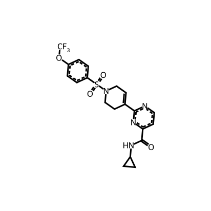 O=C(NC1CC1)c1ccnc(C2=CCN(S(=O)(=O)c3ccc(OC(F)(F)F)cc3)CC2)n1